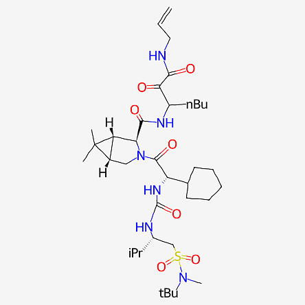 C=CCNC(=O)C(=O)C(CCCC)NC(=O)[C@@H]1[C@@H]2[C@H](CN1C(=O)[C@@H](NC(=O)N[C@H](CS(=O)(=O)N(C)C(C)(C)C)C(C)C)C1CCCCC1)C2(C)C